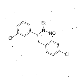 CCN(N=O)C(Cc1ccc(Cl)cc1)c1cccc(Cl)c1